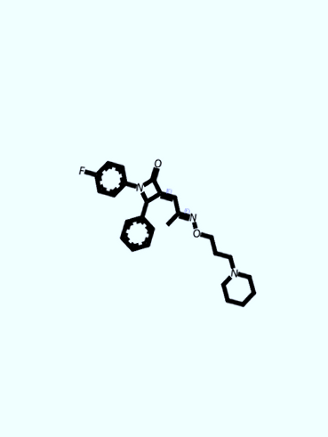 CC(/C=C1/C(=O)N(c2ccc(F)cc2)C1c1ccccc1)=N\OCCCN1CCCCC1